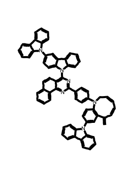 C=C1/C=C\C=C/CN(c2ccc(-c3nc(-n4c5ccccc5c5cc(-n6c7ccccc7c7ccccc76)ccc54)c4ccc5ccccc5c4n3)cc2)c2ccc(-n3c4ccccc4c4ccccc43)cc21